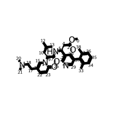 COC(=O)C[C@H](NC(=O)[C@H](CC(C)C)n1cc(CCN(C)C)ccc1=O)c1cncc(-c2c(C)cccc2C)c1